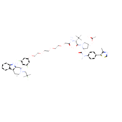 CC(=O)O[C@@H]1C[C@@H](C(=O)N(C)c2ccc(-c3scnc3C)cc2)N(C(=O)[C@@H](NC(=O)COCCOCCOCCOc2cc(F)c([C@@H]3c4[nH]c5ccccc5c4C[C@@H](C)N3CC(C)(C)F)c(F)c2)C(C)(C)C)C1